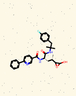 C[C@@H](C[C@H](NC(=O)c1ccc(-c2ccccc2)nc1)C(=O)NC(C)(C)Cc1ccc(F)cc1)C1OC1O